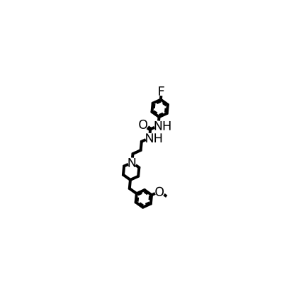 COc1cccc(CC2CCN(CCCNC(=O)Nc3ccc(F)cc3)CC2)c1